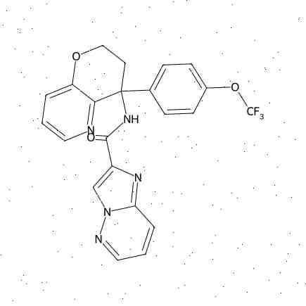 O=C(NC1(c2ccc(OC(F)(F)F)cc2)CCOc2cccnc21)c1cn2ncccc2n1